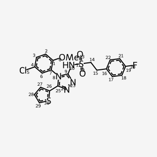 COc1ccc(Cl)cc1-n1c(NS(=O)(=O)CCc2ccc(F)cc2)nnc1-c1cccs1